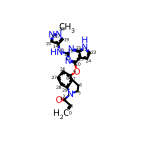 C=CC(=O)N1CCc2c(Oc3nc(Nc4cnn(C)c4)nc4[nH]ccc34)cccc21